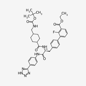 CCOC(=O)c1cccc(-c2ccc(C[C@H](NC(=O)C3CCC(CNC(=O)OC(C)(C)C)CC3)C(=O)Nc3ccc(-c4nn[nH]n4)cc3)cc2)c1F